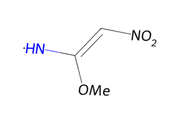 CO/C([NH])=C\[N+](=O)[O-]